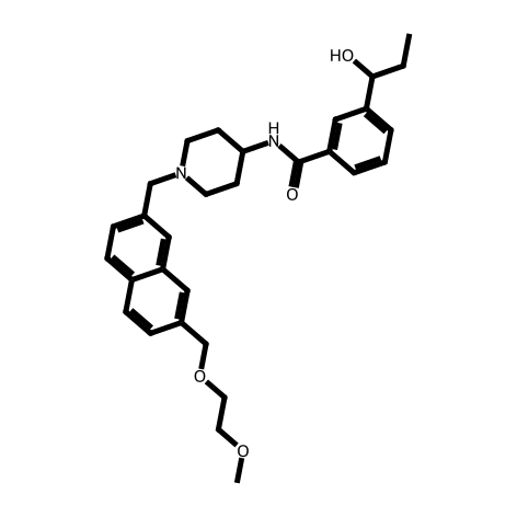 CCC(O)c1cccc(C(=O)NC2CCN(Cc3ccc4ccc(COCCOC)cc4c3)CC2)c1